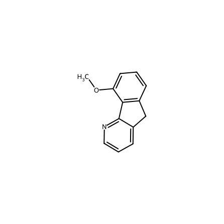 COc1cccc2c1-c1ncccc1C2